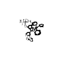 CC(C)Oc1ccc2c(c1)c(-c1ccnc(N3CCCC3=O)c1)nn2C(c1ccccc1)(c1ccccc1)c1ccccc1